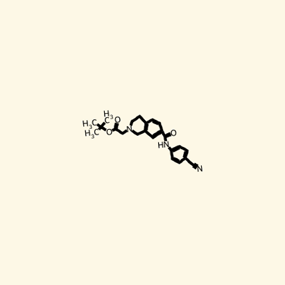 CC(C)(C)OC(=O)CN1CCc2ccc(C(=O)Nc3ccc(C#N)cc3)cc2C1